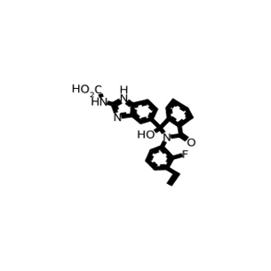 C=Cc1cccc(N2C(=O)c3ccccc3C2(O)c2ccc3[nH]c(NC(=O)O)nc3c2)c1F